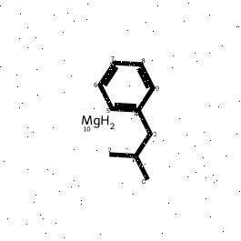 CC(C)Cc1cc[c]cc1.[MgH2]